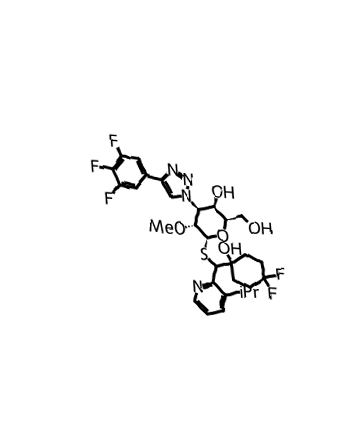 CO[C@@H]1[C@@H](n2cc(-c3cc(F)c(F)c(F)c3)nn2)[C@@H](O)[C@@H](CO)O[C@H]1SC(c1ncccc1C(C)C)C1(O)CCC(F)(F)CC1